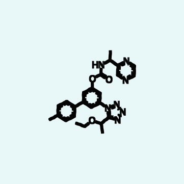 CCOC(C)c1nnnn1-c1cc(OC(=O)NC(C)c2cnccn2)cc(-c2ccc(C)cc2)c1